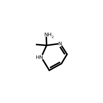 CC1(N)N=CC=CN1